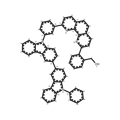 OCc1ccccc1-c1ccc2ccc3ccc(-c4cccc(-n5c6ccccc6c6cc(-c7ccc8c(c7)c7ccccc7n8-c7ccccc7)ccc65)c4)nc3c2n1